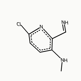 CNc1ccc(Cl)nc1C=N